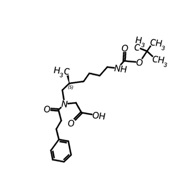 C[C@@H](CCCCNC(=O)OC(C)(C)C)CN(CC(=O)O)C(=O)CCc1ccccc1